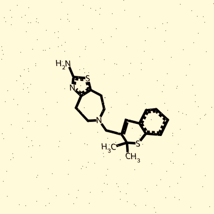 CC1(C)Sc2ccccc2C=C1CN1CCc2nc(N)sc2CC1